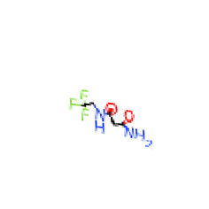 NC(=O)CC(=O)NCC(F)(F)F